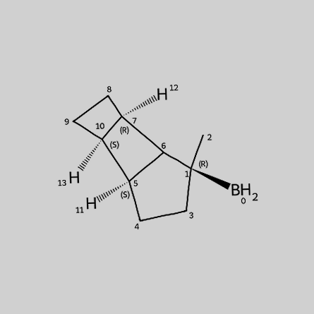 B[C@@]1(C)CC[C@@H]2C1[C@@H]1CC[C@H]21